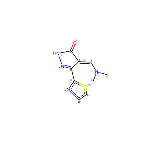 CN(C)/C=C1/C(=O)NN=C1c1nccs1